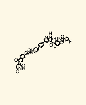 O=C1CC[C@@H](N2Cc3cc(OC[C@H](O)CN4CCN(c5ccc(-c6cnc7[nH]cc(C(=O)c8c(F)ccc(NS(=O)(=O)N9CC[C@@H](F)C9)c8F)c7c6)cc5)CC4)ccc3C2=O)C(=O)N1